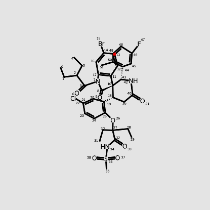 CCC(CC)C(=O)N1C(=O)[C@]2(c3ccc(Br)cc31)[C@@H](c1cc(Cl)ccc1OC(CC)(CC)C(=O)NS(C)(=O)=O)CC(=O)N[C@H]2c1cc(F)ccc1C